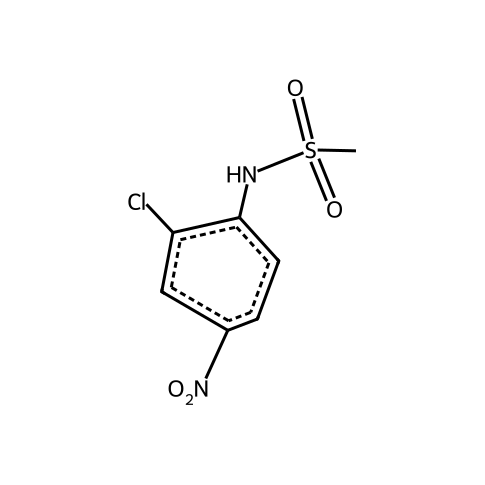 CS(=O)(=O)Nc1ccc([N+](=O)[O-])cc1Cl